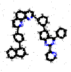 c1ccc(-c2nc(-c3ccccn3)nc3ccc(-c4cccc(-c5ccc6ccc7ccc(-c8ccc(-c9cccc%10ccccc9%10)cc8)nc7c6n5)c4)cc23)cc1